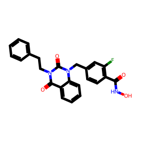 O=C(NO)c1ccc(Cn2c(=O)n(CCc3ccccc3)c(=O)c3ccccc32)cc1F